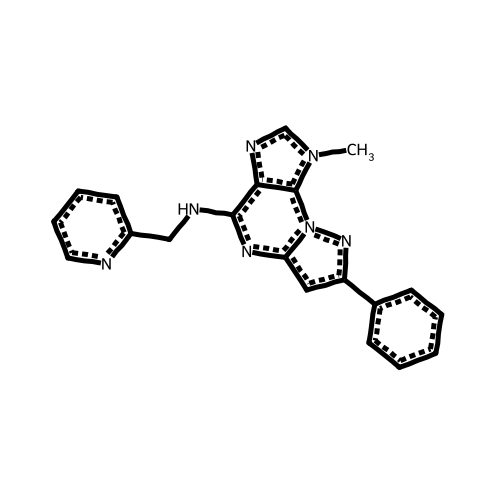 Cn1cnc2c(NCc3ccccn3)nc3cc(-c4ccccc4)nn3c21